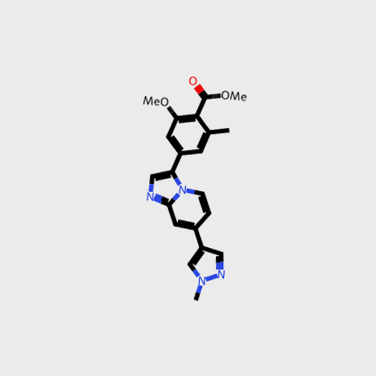 COC(=O)c1c(C)cc(-c2cnc3cc(-c4cnn(C)c4)ccn23)cc1OC